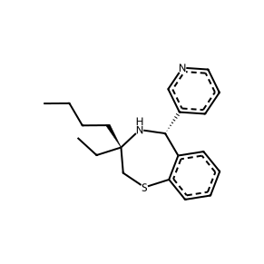 CCCC[C@]1(CC)CSc2ccccc2[C@@H](c2cccnc2)N1